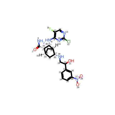 NC(=O)[C@H]1[C@H]2C[C@@H]([C@H]1Nc1nc(Cl)ncc1F)[C@H](NCC(O)c1cccc([N+](=O)[O-])c1)C2